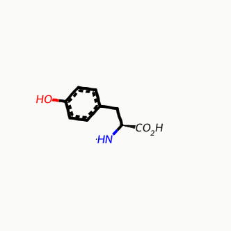 [NH][C@@H](Cc1ccc(O)cc1)C(=O)O